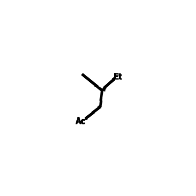 CC[C](C)CC(C)=O